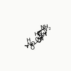 CC(C)NC(=O)OC[C@@H]1CC[C@H](C2=CC=C3NS2(C#N)N=CN=C3N)O1